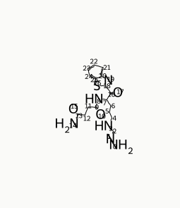 NN=CNCCCC(NC(=O)CCC(N)=O)C(=O)c1nc2ccccc2s1